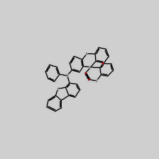 c1ccc(N(c2ccc3c(c2)[Si]2(c4ccccc4Sc4ccccc42)c2ccccc2S3)c2cccc3c2sc2ccccc23)cc1